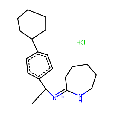 CC(/N=C1\CCCCCN1)c1ccc(C2CCCCC2)cc1.Cl